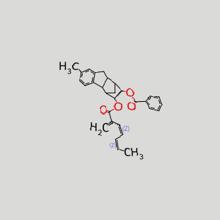 C=C(/C=C\C=C/C)C(=O)OC1C2CC(C3Cc4cc(C)ccc4C32)C1OC(=O)c1ccccc1